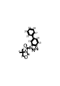 CC1(C)COCN1C(=O)n1nnc2ccc(-c3ccccc3)cc21